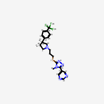 C[C@H]1CN(CCCSc2nnc(-c3cncnc3)n2C)C[C@]1(C)c1ccc(C(F)(F)F)cc1